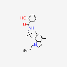 Cc1cc(C)c(CC(C)(C)CNC(=O)c2ccccc2O)c2c1CCN2CCC(C)C